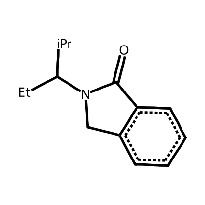 CCC(C(C)C)N1Cc2ccccc2C1=O